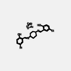 CC(=O)[O-].CC(=O)[O-].CCc1ccc(O)c(C=NC2CCC(N=Cc3cc(CC)ccc3O)CC2)c1.[Co+2]